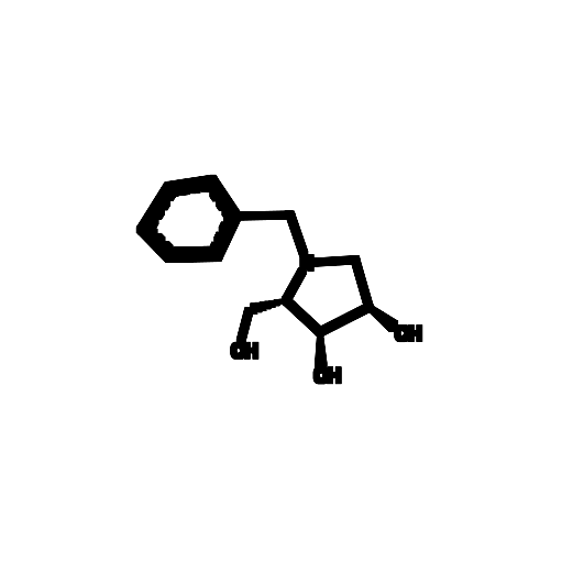 OC[C@H]1[C@H](O)[C@H](O)CN1Cc1ccccc1